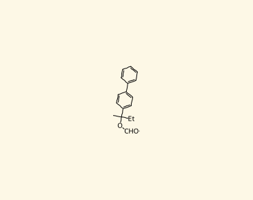 CCC(C)(O[C]=O)c1ccc(-c2ccccc2)cc1